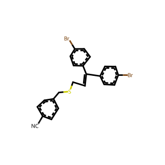 N#Cc1ccc(CSCC=C(c2ccc(Br)cc2)c2ccc(Br)cc2)cc1